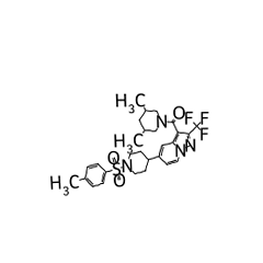 Cc1ccc(S(=O)(=O)N2CCC(c3ccn4nc(C(F)(F)F)c(C(=O)N5CC(C)CC(C)C5)c4c3)CC2)cc1